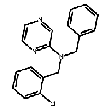 Clc1ccccc1CN(Cc1ccccc1)c1cnccn1